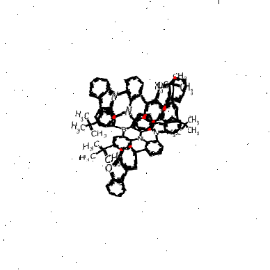 CC(C)(C)c1cc(-c2cc3c4c(c2)N(c2c(-c5cccc6c5oc5ccccc56)cccc2-n2c5ccccc5c5ccccc52)c2ccc(C(C)(C)C)cc2B4c2cc(C(C)(C)C)ccc2N3c2c(-c3ccc4oc5ccccc5c4c3)cccc2-n2c3ccccc3c3ccccc32)cc(C(C)(C)C)c1